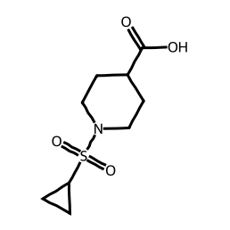 O=C(O)C1CCN(S(=O)(=O)C2CC2)CC1